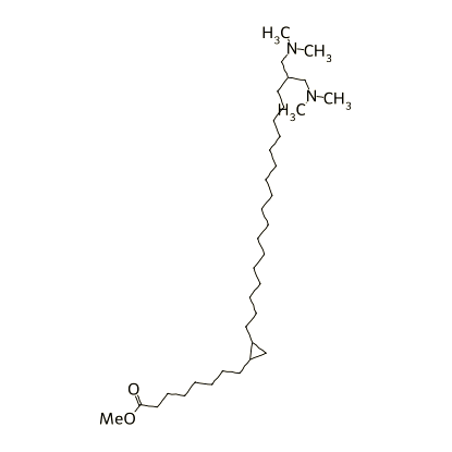 COC(=O)CCCCCCCC1CC1CCCCCCCCCCCCCCCCCC(CN(C)C)CN(C)C